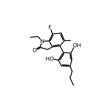 CCCc1cc(O)c(-c2c(C)cc(F)c3c2CC(=O)N3CC)c(O)c1